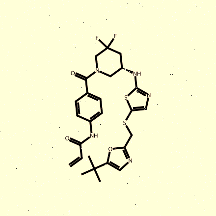 C=CC(=O)Nc1ccc(C(=O)N2C[C@H](Nc3ncc(SCc4ncc(C(C)(C)C)o4)s3)CC(F)(F)C2)cc1